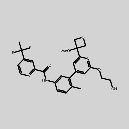 COC1(c2cc(-c3cc(NC(=O)c4cc(C(C)(F)F)ccn4)ccc3C)cc(OCCO)n2)COC1